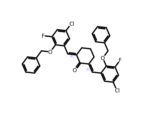 O=C1/C(=C/c2cc(Cl)cc(F)c2OCc2ccccc2)CCC/C1=C\c1cc(Cl)cc(F)c1OCc1ccccc1